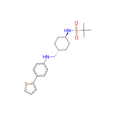 CC(C)(C)S(=O)(=O)N[C@H]1CC[C@H](CNc2ccc(-c3cccs3)cc2)CC1